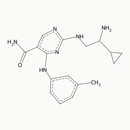 Cc1cccc(Nc2nc(NCC(N)C3CC3)ncc2C(N)=O)c1